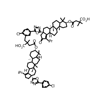 CC(C)C1=C2[C@H]3CCC4C(C)(CC[C@H]5C(C)(C)[C@@H](OC(=O)CC(C)(Cc6cc(-c7nnc([C@@]89CC[C@]%10(C)[C@H](CCC%11[C@@]%12(C)CC[C@H](OC(=O)CC(C)(C)C(=O)O)C(C)(C)C%12CC[C@]%11%10C)C8=C(C(C)C)C(=O)C9)o7)ccc6Cl)C(=O)O)CC[C@]45C)[C@]3(C)CC[C@@]2(c2nnc(-c3ccc(Cl)cc3)o2)CC1